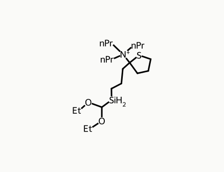 CCC[N+](CCC)(CCC)C1(CCC[SiH2]C(OCC)OCC)CCCS1